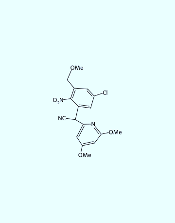 COCc1cc(Cl)cc(C(C#N)c2cc(OC)cc(OC)n2)c1[N+](=O)[O-]